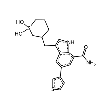 NC(=O)c1cc(-c2ccsc2)cc2c(CC3CCCS(O)(O)C3)c[nH]c12